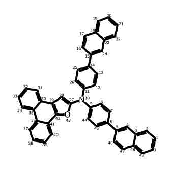 c1ccc2cc(-c3ccc(N(c4ccc(-c5ccc6ccccc6c5)cc4)c4cc5c6ccccc6c6ccccc6c5o4)cc3)ccc2c1